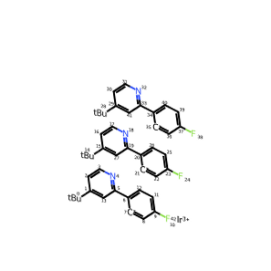 CC(C)(C)c1ccnc(-c2[c-]cc(F)cc2)c1.CC(C)(C)c1ccnc(-c2[c-]cc(F)cc2)c1.CC(C)(C)c1ccnc(-c2[c-]cc(F)cc2)c1.[Ir+3]